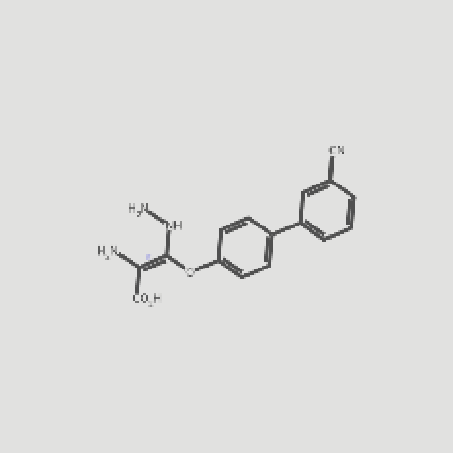 N#Cc1cccc(-c2ccc(O/C(NN)=C(/N)C(=O)O)cc2)c1